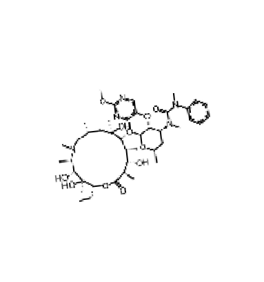 CC[C@H]1OC(=O)[C@H](C)[C@@H](O)[C@H](C)[C@@H](O[C@@H]2O[C@H](C)C[C@H](N(C)C(=O)N(C)c3ccccc3)[C@H]2Oc2cnc(OC)nc2)[C@](C)(O)C[C@@H](C)CN(C)[C@H](C)[C@@H](O)[C@]1(C)O